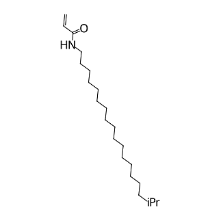 C=CC(=O)NCCCCCCCCCCCCCCCCC(C)C